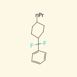 CCCC1CCC(C(F)(F)c2ccccc2)CC1